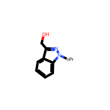 CCCn1nc(CO)c2ccccc21